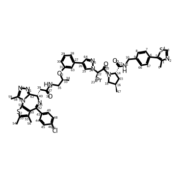 Cc1ncsc1-c1ccc(CNC(=O)[C@@H]2C[C@@H](C)CN2C(=O)[C@@H](C(C)C)n2cc(-c3cccc(O[C@@H](C)CNC(=O)C[C@@H]4N=C(c5ccc(Cl)cc5)c5c(sc(C)c5C)-n5c(C)nnc54)c3)cn2)cc1